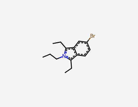 CCCn1c(CC)c2ccc(Br)cc2c1CC